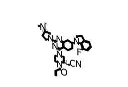 C=CC(=O)N1CCN(c2nc(N3CC[C@@H](N(C)C)C3)nc3c2CCC(N2CCc4cccc(F)c42)C3)C[C@@H]1CC#N